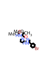 COC(=O)NC(C(=O)N1CCC[C@H]1c1ncc(-c2ccc(Br)cc2)[nH]1)[C@@H](C)OC